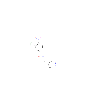 O=C(NCc1ccncc1)c1ccc([N+](=O)[O-])c(F)c1